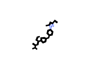 C=Cc1cc(C)n(-c2ccc(Cc3ccc(C(/C=C\C)=C/C(=C)C(C)C)cc3)cc2)n1